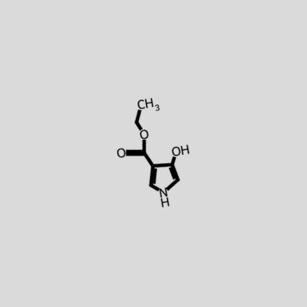 CCOC(=O)c1c[nH]cc1O